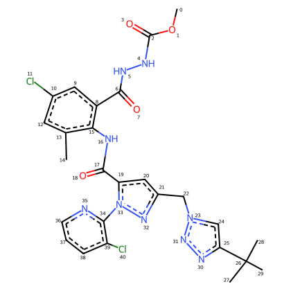 COC(=O)NNC(=O)c1cc(Cl)cc(C)c1NC(=O)c1cc(Cn2cc(C(C)(C)C)nn2)nn1-c1ncccc1Cl